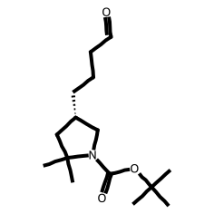 CC(C)(C)OC(=O)N1C[C@@H](CCCC=O)CC1(C)C